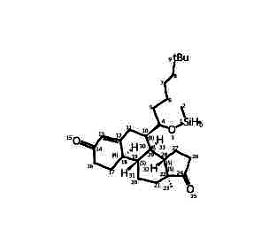 C[SiH](C)OC(CCCCC(C)(C)C)[C@@H]1CC2=CC(=O)CC[C@@H]2[C@H]2CC[C@]3(C)C(=O)CC[C@H]3[C@@H]21